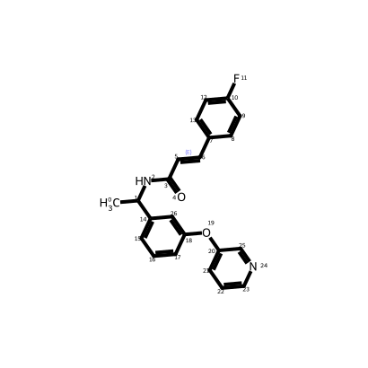 CC(NC(=O)/C=C/c1ccc(F)cc1)c1cccc(Oc2cccnc2)c1